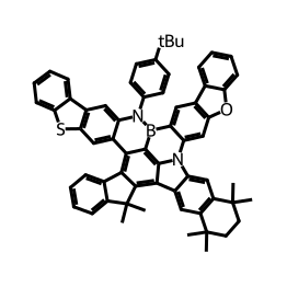 CC(C)(C)c1ccc(N2B3c4cc5c(cc4-n4c6cc7c(cc6c6c8c(c(c3c64)-c3cc4sc6ccccc6c4cc32)-c2ccccc2C8(C)C)C(C)(C)CCC7(C)C)oc2ccccc25)cc1